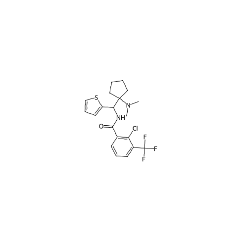 CN(C)C1(C(NC(=O)c2cccc(C(F)(F)F)c2Cl)c2cccs2)CCCC1